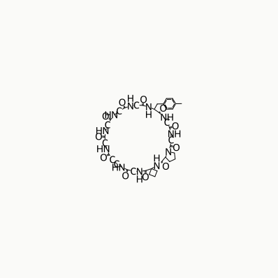 Cc1ccc(CC2NC(=O)CNC(=O)CNC(=O)CNC(=O)CNC(=O)CCNC(=O)CNC(=O)C3(CCC3)NC(=O)C3CCCN3C(=O)CNC(=O)CNC2=O)cc1